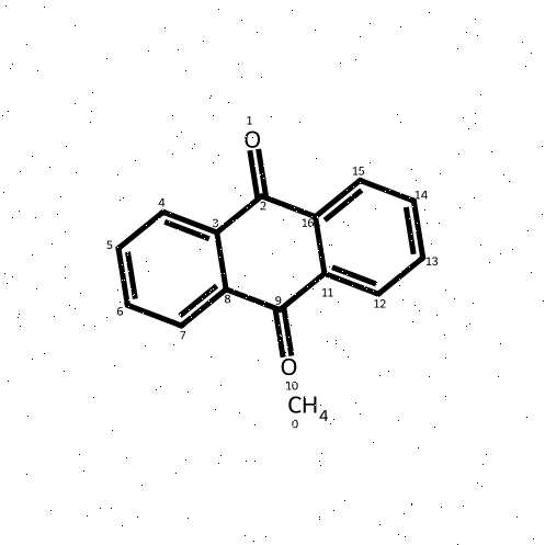 C.O=C1c2ccccc2C(=O)c2ccccc21